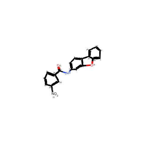 O=C(Nc1ccc2c(c1)oc1ccccc12)c1cccc([N+](=O)[O-])c1